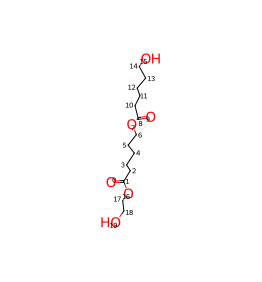 O=C(CCCCCOC(=O)CCCCCO)OCCO